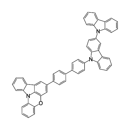 c1ccc2c(c1)Oc1cc(-c3ccc(-c4ccc(-n5c6ccccc6c6cc(-n7c8ccccc8c8ccccc87)ccc65)cc4)cc3)cc3c4ccccc4n-2c13